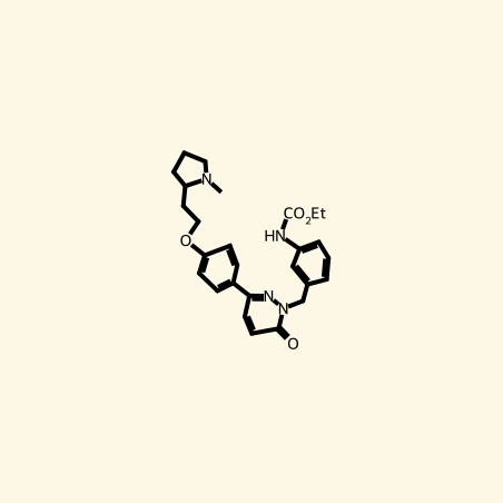 CCOC(=O)Nc1cccc(Cn2nc(-c3ccc(OCCC4CCCN4C)cc3)ccc2=O)c1